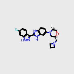 C[C@@H]1CO[C@@H](CN2CCC2)CN1c1ccc2nc(-c3n[nH]c4cc(F)ccc34)[nH]c2c1